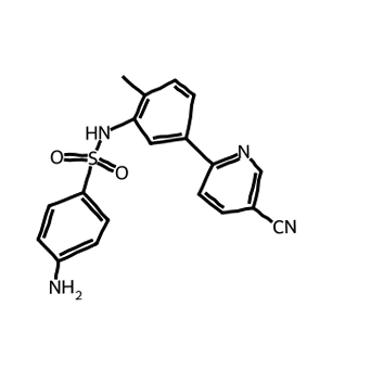 Cc1ccc(-c2ccc(C#N)cn2)cc1NS(=O)(=O)c1ccc(N)cc1